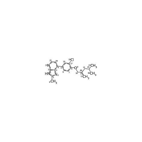 Cc1nc2c(-c3ccc(OC[C@H](C)CC(C)C)c(Cl)c3)ccnc2[nH]1